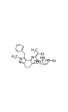 C/C=C1/CCc2nn(C)c(Cc3ccccc3)c2/C1=N/C(NC(=N)/C=C\NCC)=C(\C)CC